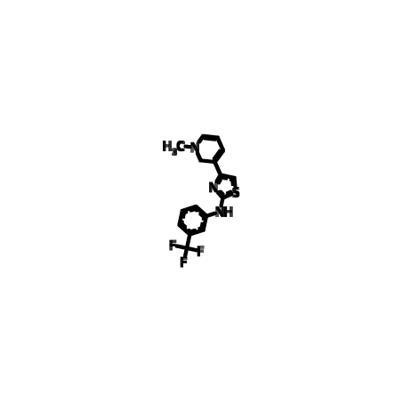 CN1C=CC=C(c2csc(Nc3cccc(C(F)(F)F)c3)n2)C1